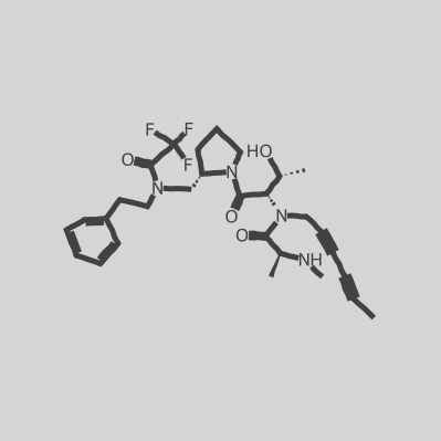 CC#CC#CCN(C(=O)[C@H](C)NC)[C@H](C(=O)N1CCC[C@H]1CN(CCc1ccccc1)C(=O)C(F)(F)F)[C@@H](C)O